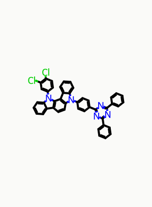 Clc1ccc(-n2c3ccccc3c3ccc4c(c5ccccc5n4-c4ccc(-c5nc(-c6ccccc6)nc(-c6ccccc6)n5)cc4)c32)cc1Cl